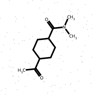 CC(=O)C1CCC(C(=O)N(C)C)CC1